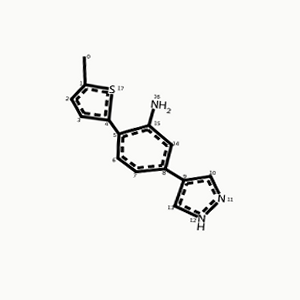 Cc1ccc(-c2ccc(-c3cn[nH]c3)cc2N)s1